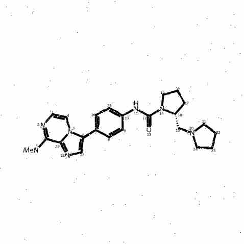 CNc1nccn2c(-c3ccc(NC(=O)N4CCC[C@@H]4CN4CCCC4)cc3)cnc12